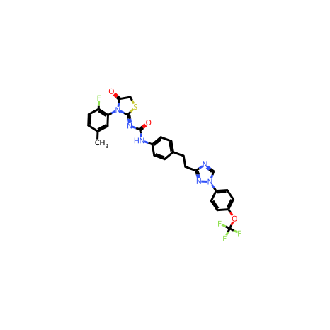 Cc1ccc(F)c(N2C(=O)CSC2=NC(=O)Nc2ccc(CCc3ncn(-c4ccc(OC(F)(F)F)cc4)n3)cc2)c1